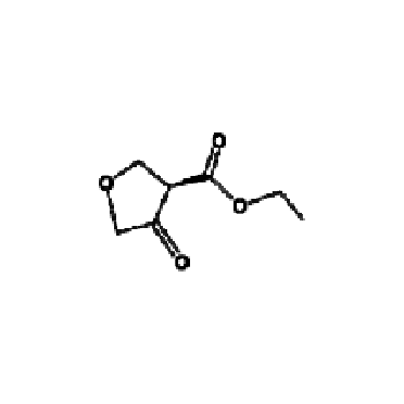 CCOC(=O)[C@@H]1COCC1=O